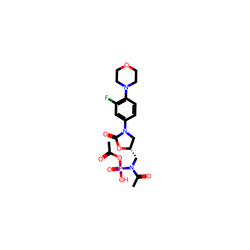 CC(=O)OP(=O)(O)N(C[C@H]1CN(c2ccc(N3CCOCC3)c(F)c2)C(=O)O1)C(C)=O